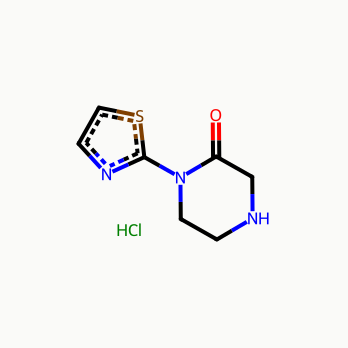 Cl.O=C1CNCCN1c1nccs1